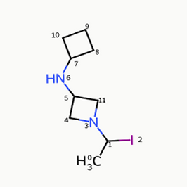 CC(I)N1CC(NC2CCC2)C1